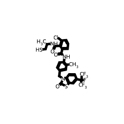 Cc1cc(Cn2c(=O)sc3cc(C(F)(C(F)(F)F)C(F)(F)F)ccc32)ccc1NC(=O)c1cccc(Cl)c1C(=O)N[C@@H](C)CS